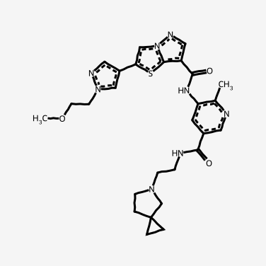 COCCn1cc(-c2cn3ncc(C(=O)Nc4cc(C(=O)NCCN5CCC6(CC6)C5)cnc4C)c3s2)cn1